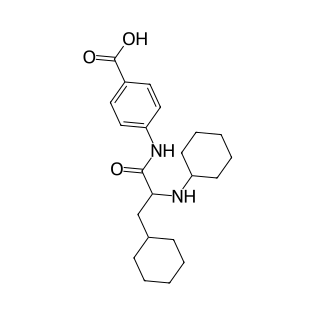 O=C(O)c1ccc(NC(=O)C(CC2CCCCC2)NC2CCCCC2)cc1